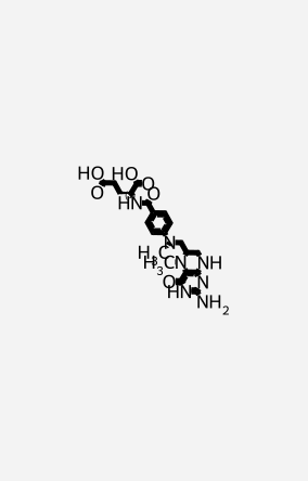 CN(CC1CNc2nc(N)[nH]c(=O)c2N1C)c1ccc(C(=O)N[C@@H](CCC(=O)O)C(=O)O)cc1